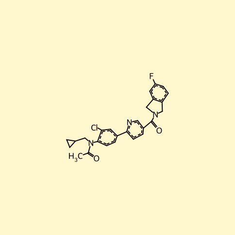 CC(=O)N(CC1CC1)c1ccc(-c2ccc(C(=O)N3Cc4ccc(F)cc4C3)cn2)cc1Cl